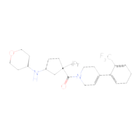 CC(C)C1(C(=O)N2CC=C(C3=CCCC=C3C(F)(F)F)CC2)CCC(NC2CCOCC2)C1